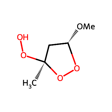 CO[C@H]1C[C@](C)(OO)OO1